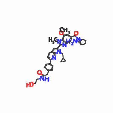 COc1cc(C(=O)N2CC3CCC2C3N)cc2nc(-c3cc4ccc(-c5ccc(CC(=O)NCCO)cc5)nc4n3CC3CC3)n(C)c12